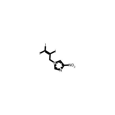 O=[N+]([O-])c1cn(CC(I)=C(I)I)cn1